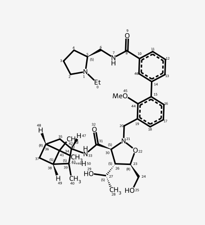 CCN1CCC[C@H]1CNC(=O)c1cccc(-c2cccc(CN3O[C@@H](CO)[C@H]([C@H](C)O)[C@H]3C(=O)N[C@H]3C[C@H]4C[C@@H]([C@@H]3C)C4(C)C)c2OC)c1